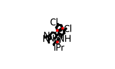 C=C(CC(C)C)[C@H]1n2c(C)nnc2C[C@@H](c2cccc(Cl)c2)[C@]12C(=O)Nc1cc(Cl)ccc12